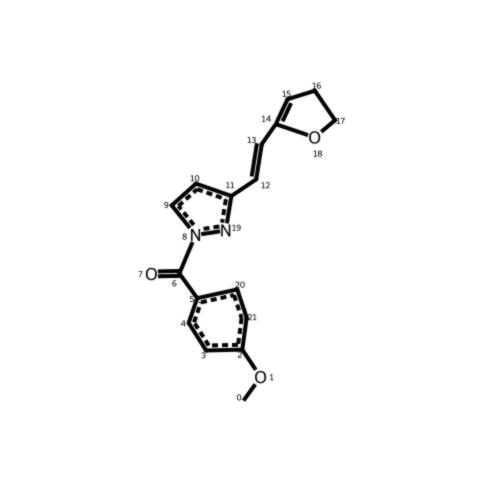 COc1ccc(C(=O)n2ccc(/C=C/C3=CCCO3)n2)cc1